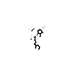 COc1ccc2c(c1F)C(=O)N(C[C@@]1(c3cc4cnc(C)cc4o3)NC(=O)N(COC(=O)C(C)(C)C)C1=O)C2